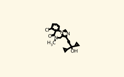 CN1Cc2c(C#CC(O)(C3CC3)C3CC3)ncn2-c2cccc(Cl)c2C1=O